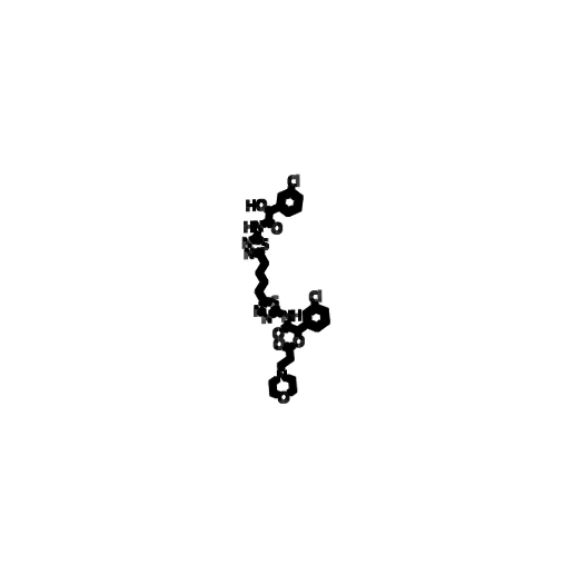 O=C(CCN1CCOCC1)OC(C(=O)Nc1nnc(CCCCc2nnc(NC(=O)C(O)c3cccc(Cl)c3)s2)s1)c1cccc(Cl)c1